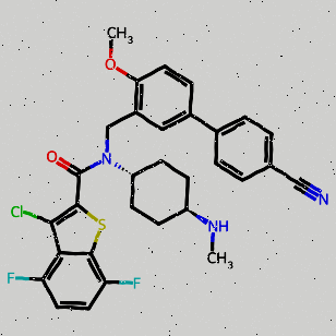 CN[C@H]1CC[C@H](N(Cc2cc(-c3ccc(C#N)cc3)ccc2OC)C(=O)c2sc3c(F)ccc(F)c3c2Cl)CC1